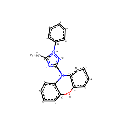 CCCCCCc1nc(N2c3ccccc3Oc3ccccc32)nn1-c1ccccc1